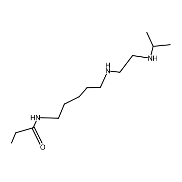 CCC(=O)NCCCCCNCCNC(C)C